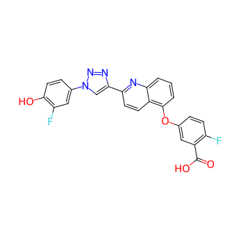 O=C(O)c1cc(Oc2cccc3nc(-c4cn(-c5ccc(O)c(F)c5)nn4)ccc23)ccc1F